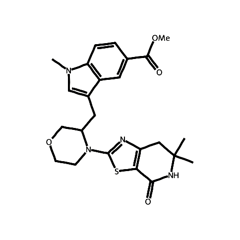 COC(=O)c1ccc2c(c1)c(CC1COCCN1c1nc3c(s1)C(=O)NC(C)(C)C3)cn2C